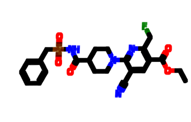 CCOC(=O)c1cc(C#N)c(N2CCC(C(=O)NS(=O)(=O)Cc3ccccc3)CC2)nc1CF